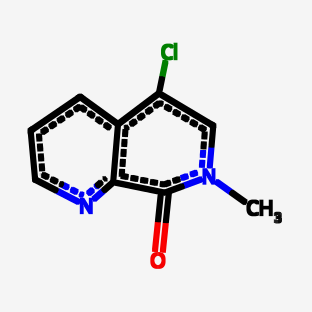 Cn1cc(Cl)c2cccnc2c1=O